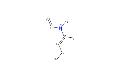 C=CN(C)/C(C)=C/CC